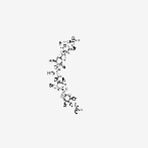 CC1(Oc2c(Br)cc(C(C)(C)c3cc(Br)c(OCC(O)COc4c(Br)cc(C(C)(C)c5cc(Br)c(OCC6CO6)c(Br)c5)cc4Br)c(Br)c3)cc2Br)CO1